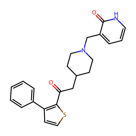 O=C(CC1CCN(Cc2ccc[nH]c2=O)CC1)c1sccc1-c1ccccc1